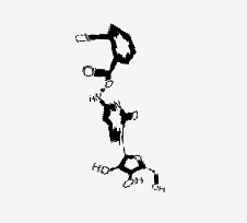 O=C(ONc1ccn([C@@H]2O[C@H](CO)[C@@H](O)[C@H]2O)c(=O)n1)c1ccccc1Cl